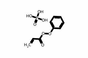 C=CC(=O)OOc1ccccc1.O=P(O)(O)O